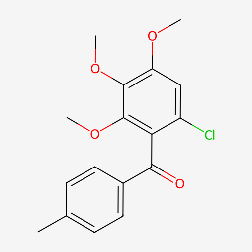 COc1cc(Cl)c(C(=O)c2ccc(C)cc2)c(OC)c1OC